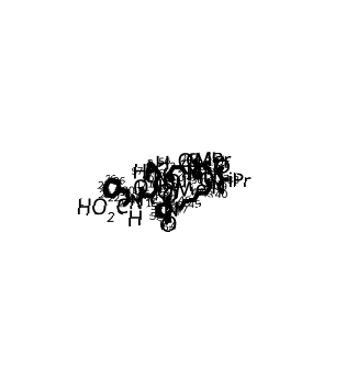 CC[C@H](C)[C@@H]([C@@H](CC(=O)N1[C@H]2C[C@H]2C[C@H]1[C@H](OC)[C@@H](C)C(=O)NC(Cc1ccccc1)C(=O)O)OC)N(C)C(=O)C(NC(=O)C(C(C)C)N(C)C(=O)CCCCCN1C(=O)C=CC1=O)C(C)C